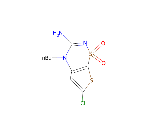 CCCCN1C(N)=NS(=O)(=O)c2sc(Cl)cc21